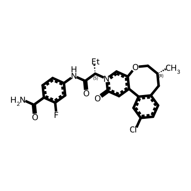 CC[C@@H](C(=O)Nc1ccc(C(N)=O)c(F)c1)n1cc2c(cc1=O)-c1cc(Cl)ccc1C[C@@H](C)CO2